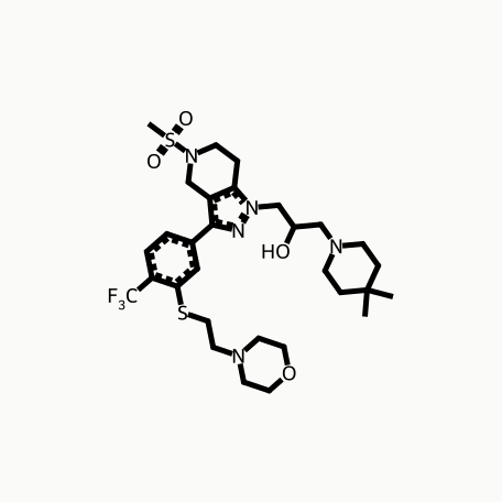 CC1(C)CCN(CC(O)Cn2nc(-c3ccc(C(F)(F)F)c(SCCN4CCOCC4)c3)c3c2CCN(S(C)(=O)=O)C3)CC1